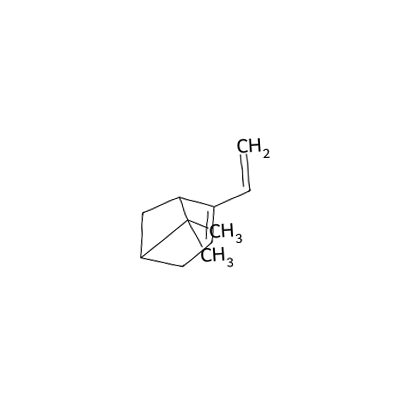 C=CC1=CCC2CC1C2(C)C